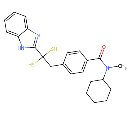 CN(C(=O)c1ccc(CC(S)(S)c2nc3ccccc3[nH]2)cc1)C1CCCCC1